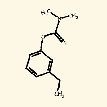 CCc1cccc(OC(=S)N(C)C)c1